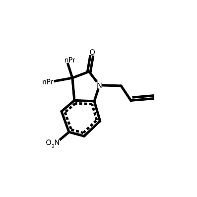 C=CCN1C(=O)C(CCC)(CCC)c2cc([N+](=O)[O-])ccc21